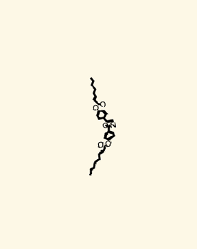 CCCCCC=CC(=O)Oc1ccc(-c2cnc(-c3ccc(OC(=O)C=CCCCCC)cc3)o2)cc1